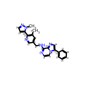 Cc1cc(CNc2nccn3c(-c4ccccc4)cnc23)cnc1-c1ccnn1C